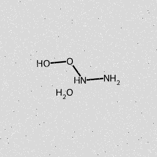 NNOO.O